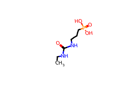 CCNC(=O)NCCCP(=O)(O)O